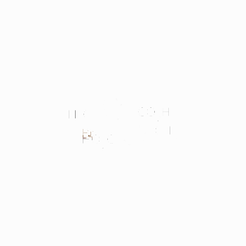 Cc1cccc(-c2c(C(=O)O)ccc(C)c2C(=O)O)c1CBr